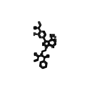 C=CC(=O)c1ccc(-c2nn(CCN(C(=O)C=C)C(=O)c3ccccc3)c3ncnc(N)c23)cc1F